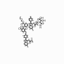 CCOCOC(=O)c1ccccc1Nc1c(Cl)ccc(C)c1Cl.Cc1ccc(-c2nc3ccc(C)cn3c2CC(=O)N(C)C)cc1.Cc1ccc(-c2nc3ccc(C)cn3c2CC(=O)N(C)C)cc1.O=C(O)C(O)C(O)C(=O)O